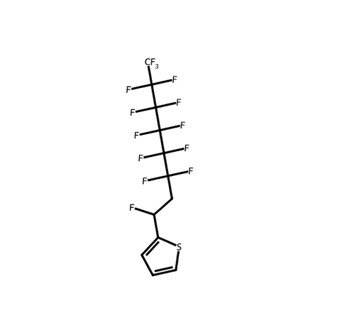 FC(CC(F)(F)C(F)(F)C(F)(F)C(F)(F)C(F)(F)C(F)(F)F)c1cccs1